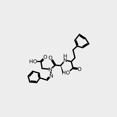 C[C@H](NC(CCc1ccccc1)C(=O)O)C(=O)N(CC(=O)O)/N=C\c1ccccc1